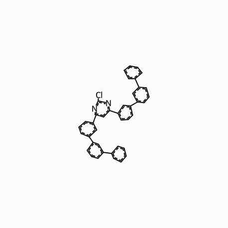 Clc1nc(-c2cccc(-c3cccc(-c4ccccc4)c3)c2)cc(-c2cccc(-c3cccc(-c4ccccc4)c3)c2)n1